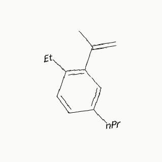 C=C(C)c1cc(CCC)ccc1CC